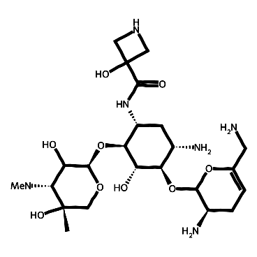 CN[C@@H]1C(O)[C@@H](O[C@@H]2[C@@H](O)[C@H](OC3OC(CN)=CC[C@H]3N)[C@@H](N)C[C@H]2NC(=O)C2(O)CNC2)OC[C@]1(C)O